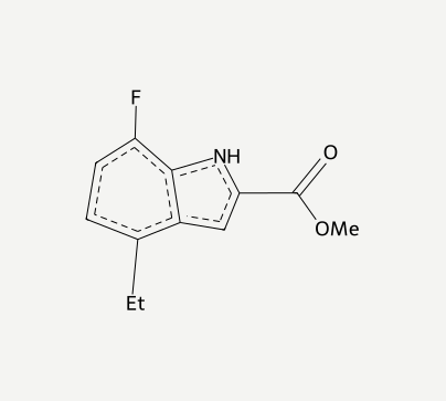 CCc1ccc(F)c2[nH]c(C(=O)OC)cc12